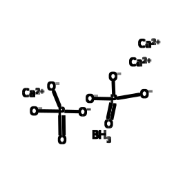 B.O=P([O-])([O-])[O-].O=P([O-])([O-])[O-].[Ca+2].[Ca+2].[Ca+2]